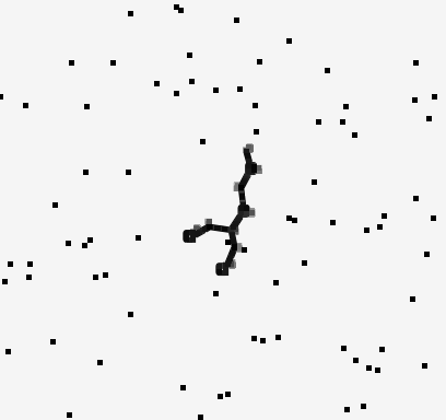 COCOC(CCl)CCl